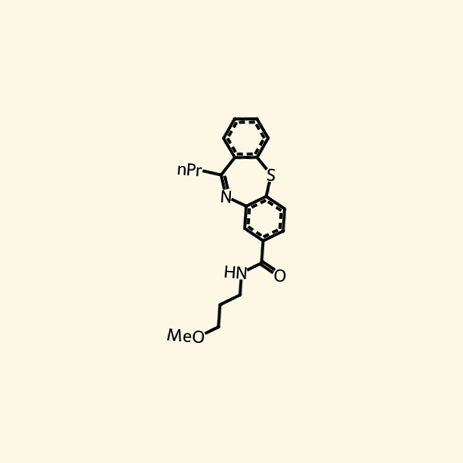 CCCC1=Nc2cc(C(=O)NCCCOC)ccc2Sc2ccccc21